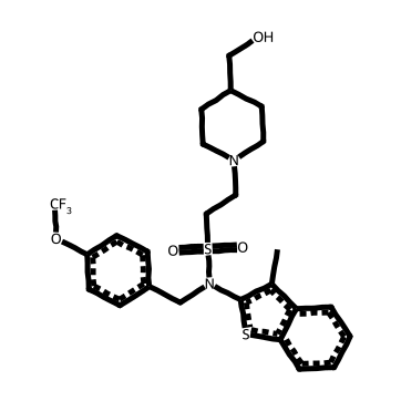 Cc1c(N(Cc2ccc(OC(F)(F)F)cc2)S(=O)(=O)CCN2CCC(CO)CC2)sc2ccccc12